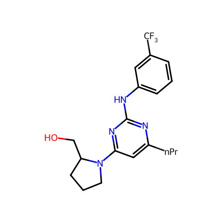 CCCc1cc(N2CCCC2CO)nc(Nc2cccc(C(F)(F)F)c2)n1